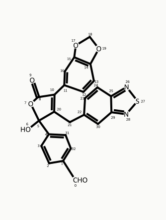 O=Cc1ccc(C2(O)OC(=O)C(c3ccc4c(c3)OCO4)=C2Cc2ccc3nsnc3c2)cc1